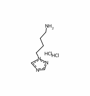 Cl.Cl.NCCCCn1cncn1